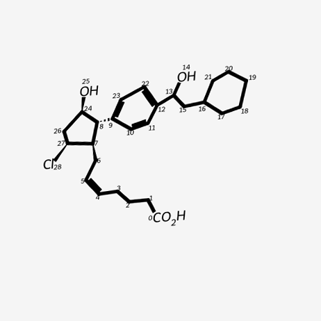 O=C(O)CCC/C=C\C[C@@H]1[C@@H](c2ccc(C(O)CC3CCCCC3)cc2)[C@H](O)C[C@@H]1Cl